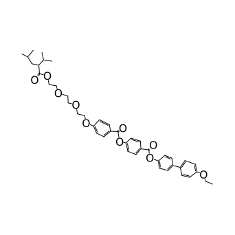 CCOc1ccc(-c2ccc(OC(=O)c3ccc(OC(=O)c4ccc(OCCOCCOCCOC(=O)C(CC(C)C)C(C)C)cc4)cc3)cc2)cc1